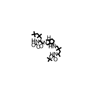 CC(CC(C)(C)CN[C@H]1CC[C@@H]2CN(C(=O)[C@H](CC(C)(C)CC(C)(C)C)NC(=O)O)C[C@@H]21)NC(=O)OC(C)(C)C